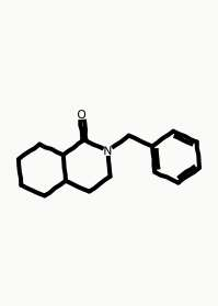 O=C1C2CCCCC2CCN1Cc1ccccc1